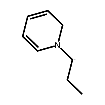 CC[CH]N1C=CC=CC1